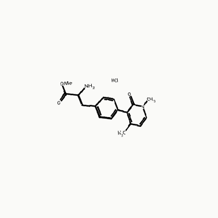 COC(=O)C(N)Cc1ccc(-c2c(C)ccn(C)c2=O)cc1.Cl